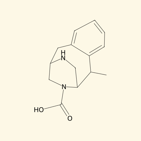 CC1c2ccccc2CC2CN(C(=O)O)C1CN2